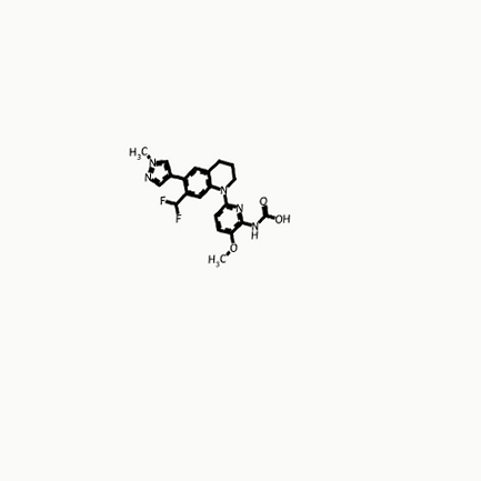 COc1ccc(N2CCCc3cc(-c4cnn(C)c4)c(C(F)F)cc32)nc1NC(=O)O